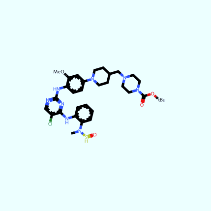 COc1cc(N2CCC(CN3CCN(C(=O)OC(C)(C)C)CC3)CC2)ccc1Nc1ncc(Cl)c(Nc2ccccc2N(C)[SH]=O)n1